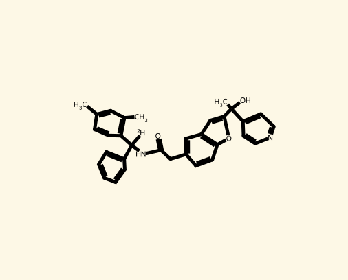 [2H]C(NC(=O)Cc1ccc2oc(C(C)(O)c3ccncc3)cc2c1)(c1ccccc1)c1ccc(C)cc1C